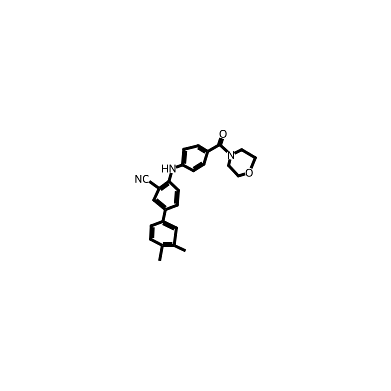 Cc1ccc(-c2ccc(Nc3ccc(C(=O)N4CCOCC4)cc3)c(C#N)c2)cc1C